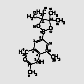 CC(=O)Nc1c(C)cc(B2OC(C)(C)C(C)(C)O2)cc1C